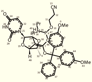 COc1ccc(C(OC(OP(OCCC#N)N(C(C)C)C(C)C)=C2[C@H]3O[C@@H](n4ccc(=O)[nH]c4=O)[C@H]2O[C@@H]3C)(c2ccccc2)c2ccc(OC)cc2)cc1